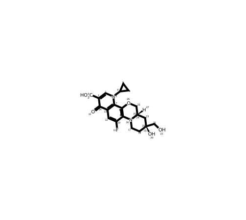 O=C(O)c1cn(C2CC2)c2c3c(c(F)cc2c1=O)N1CC[C@@](O)(CO)C[C@H]1CO3